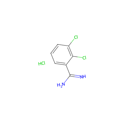 Cl.N=C(N)c1cccc(Cl)c1Cl